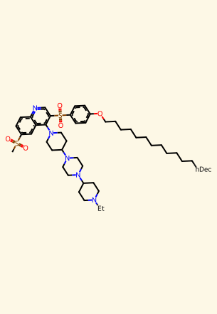 CCCCCCCCCCCCCCCCCCCCCCOc1ccc(S(=O)(=O)c2cnc3ccc(S(C)(=O)=O)cc3c2N2CCC(N3CCN(C4CCN(CC)CC4)CC3)CC2)cc1